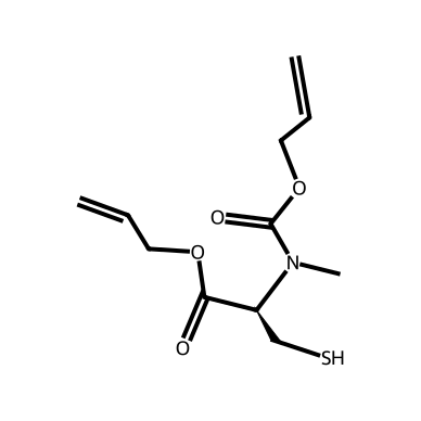 C=CCOC(=O)[C@H](CS)N(C)C(=O)OCC=C